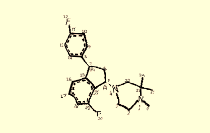 CN1CCN([C@H]2C[C@H](c3ccc(F)cc3)c3cccc(F)c32)CC1(C)C